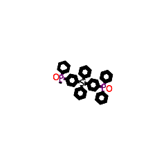 CP(=O)(C1=CC=CCC1)c1ccc([Si](c2ccccc2)(c2ccccc2)c2ccc(P(=O)(c3ccccc3)c3ccccc3)cc2)cc1